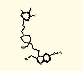 COc1ccc2ncc(CO)c(CCCC3(CO)CCN(CCOc4cc(F)c(F)c(F)c4)CC3)c2c1